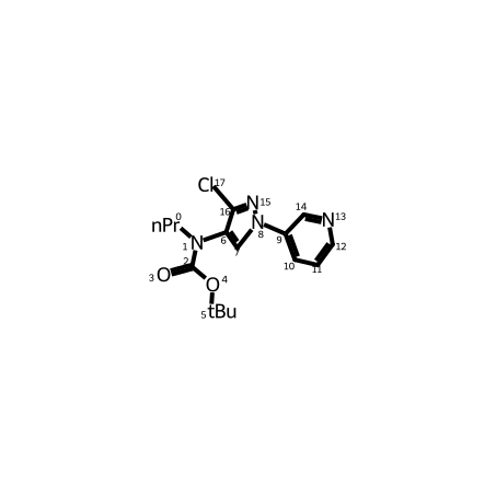 CCCN(C(=O)OC(C)(C)C)c1cn(-c2cccnc2)nc1Cl